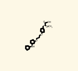 CO[C@@H](Cc1ccc(OCCCOc2cccc(Nc3ccccc3)c2)cc1)C(=O)O